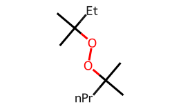 CCCC(C)(C)OOC(C)(C)CC